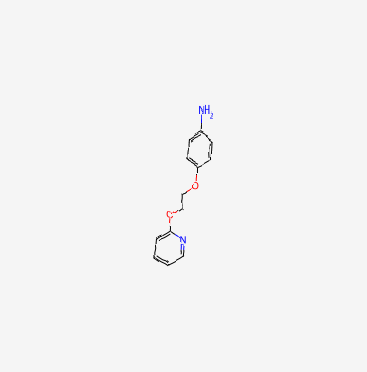 Nc1ccc(OCCOc2ccccn2)cc1